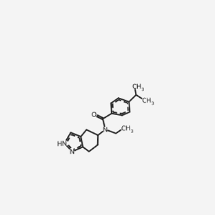 CCN(C(=O)c1ccc(C(C)C)cc1)C1CCc2n[nH]cc2C1